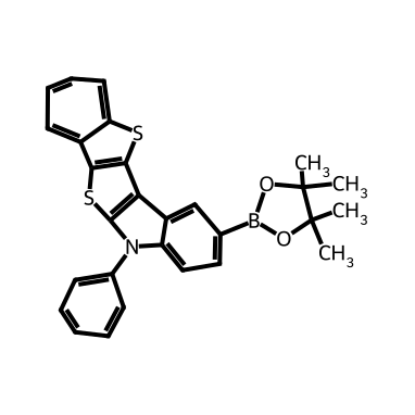 CC1(C)OB(c2ccc3c(c2)c2c4sc5ccccc5c4sc2n3-c2ccccc2)OC1(C)C